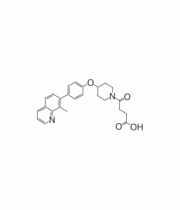 Cc1c(-c2ccc(OC3CCN(C(=O)CCC(=O)O)CC3)cc2)ccc2cccnc12